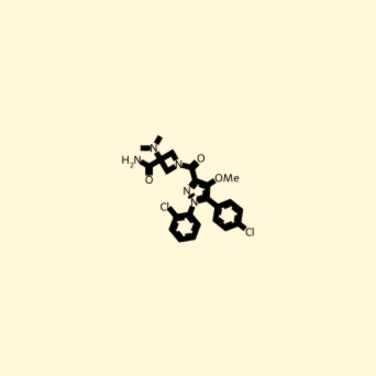 COc1c(C(=O)N2CC(C(N)=O)(N(C)C)C2)nn(-c2ccccc2Cl)c1-c1ccc(Cl)cc1